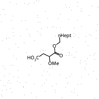 CCCCCCCCOC(=O)C(CC(=O)O)OC